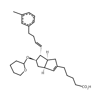 Cc1cccc(CC/C=C/[C@@H]2[C@H]3CC(CCCCC(=O)O)=C[C@H]3C[C@H]2OC2CCCCO2)c1